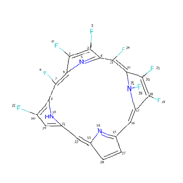 FC1=C(F)c2nc1c(F)c1[nH]c(cc3nc(cc4c(F)c(F)c(c2F)n4F)C=C3)cc1F